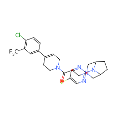 O=C(CCN1CC2CCC(C1)N2c1ncc(F)cn1)N1CC=C(c2ccc(Cl)c(C(F)(F)F)c2)CC1